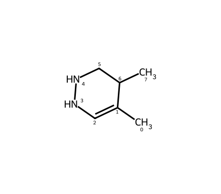 CC1=CNNCC1C